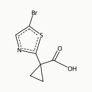 O=C(O)C1(c2ncc(Br)s2)CC1